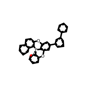 S=P12c3c(cc(-c4cccc(-c5ccccc5)c4)cc3Oc3ccc4ccccc4c31)Oc1ccc3ccccc3c12